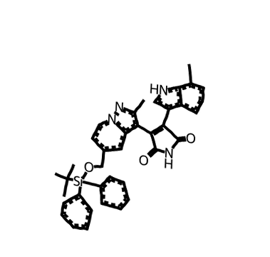 Cc1nn2ccc(CO[Si](c3ccccc3)(c3ccccc3)C(C)(C)C)cc2c1C1=C(c2c[nH]c3c(C)cccc23)C(=O)NC1=O